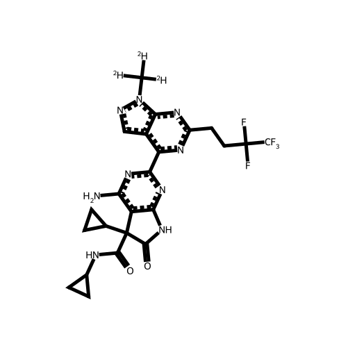 [2H]C([2H])([2H])n1ncc2c(-c3nc(N)c4c(n3)NC(=O)C4(C(=O)NC3CC3)C3CC3)nc(CCC(F)(F)C(F)(F)F)nc21